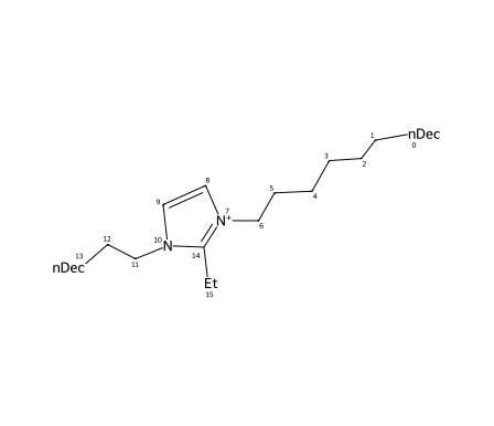 CCCCCCCCCCCCCCCC[n+]1ccn(CCCCCCCCCCCC)c1CC